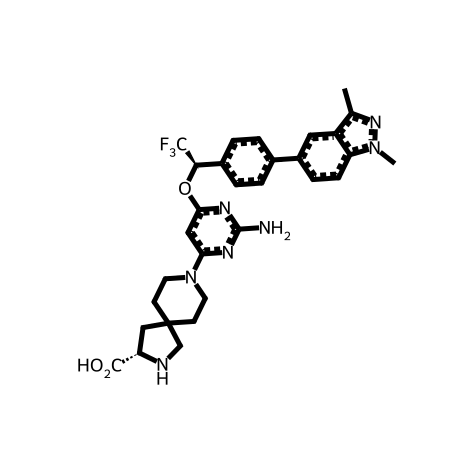 Cc1nn(C)c2ccc(-c3ccc([C@@H](Oc4cc(N5CCC6(CC5)CN[C@H](C(=O)O)C6)nc(N)n4)C(F)(F)F)cc3)cc12